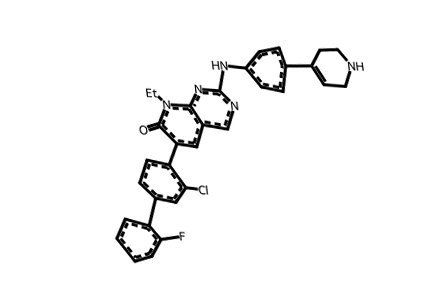 CCn1c(=O)c(-c2ccc(-c3ccccc3F)cc2Cl)cc2cnc(Nc3ccc(C4=CCNCC4)cc3)nc21